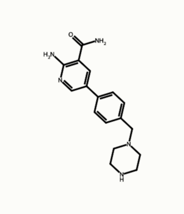 NC(=O)c1cc(-c2ccc(CN3CCNCC3)cc2)cnc1N